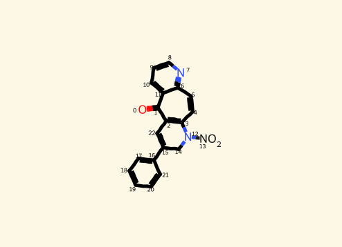 O=c1c2c(ccc3ncccc13)N([N+](=O)[O-])CC(c1ccccc1)=C2